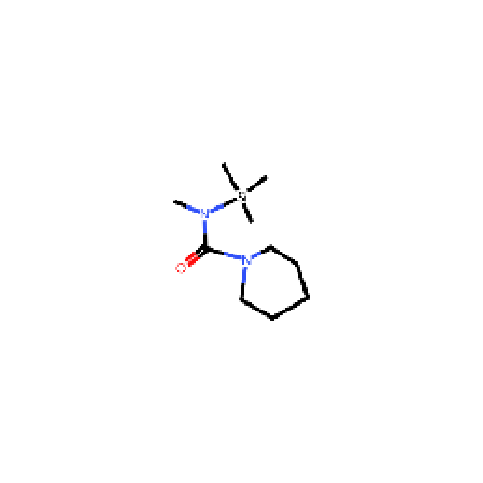 CN(C(=O)N1CCCCC1)[Si](C)(C)C